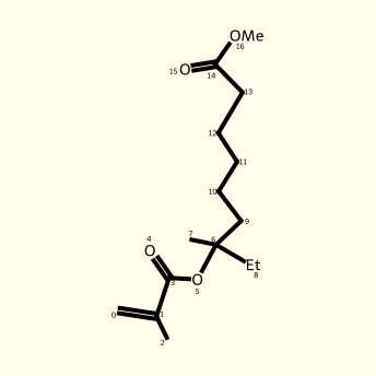 C=C(C)C(=O)OC(C)(CC)CCCCCC(=O)OC